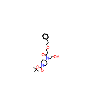 CC(C)(C)OC(=O)N1CCC(N(CCO)C(=O)CCOCCc2ccccc2)CC1